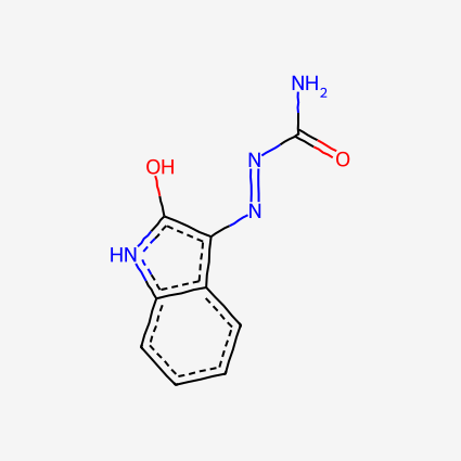 NC(=O)N=Nc1c(O)[nH]c2ccccc12